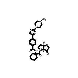 CN1CCN(c2nc(-c3ccc(C(=O)NC4(C(=O)N5CC[C@H]6OCC(=O)[C@H]65)CCCCC4)cc3)cs2)CC1